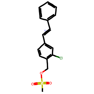 CS(=O)(=O)OCc1ccc(/C=C/c2ccccc2)cc1Cl